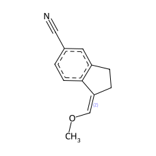 CO/C=C1/CCc2cc(C#N)ccc21